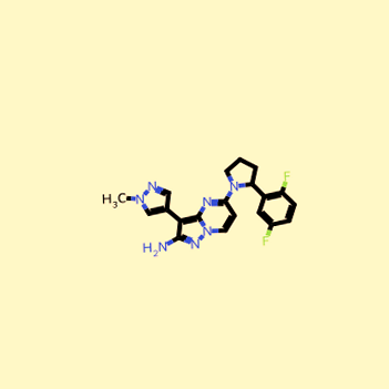 Cn1cc(-c2c(N)nn3ccc(N4CCCC4c4cc(F)ccc4F)nc23)cn1